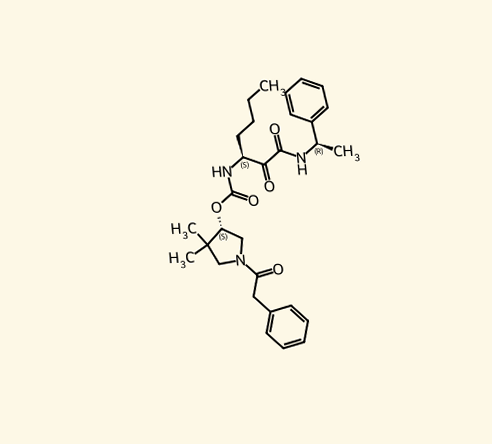 CCCC[C@H](NC(=O)O[C@@H]1CN(C(=O)Cc2ccccc2)CC1(C)C)C(=O)C(=O)N[C@H](C)c1ccccc1